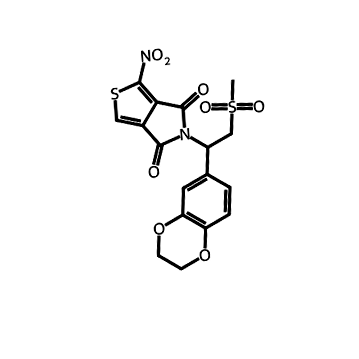 CS(=O)(=O)CC(c1ccc2c(c1)OCCO2)N1C(=O)c2csc([N+](=O)[O-])c2C1=O